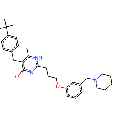 Cc1[nH]c(CCCOc2cccc(CN3CCCCC3)c2)nc(=O)c1Cc1ccc(C(C)(C)C)cc1